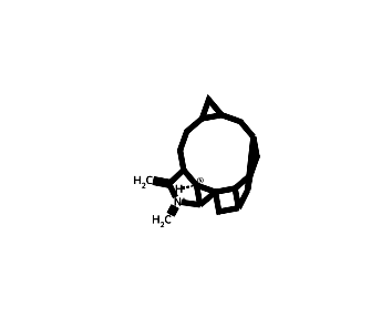 C=C1C2CCC3CC3CC3CC4C3C3CC5(C43)C([C@@H]25)[N+]1=C